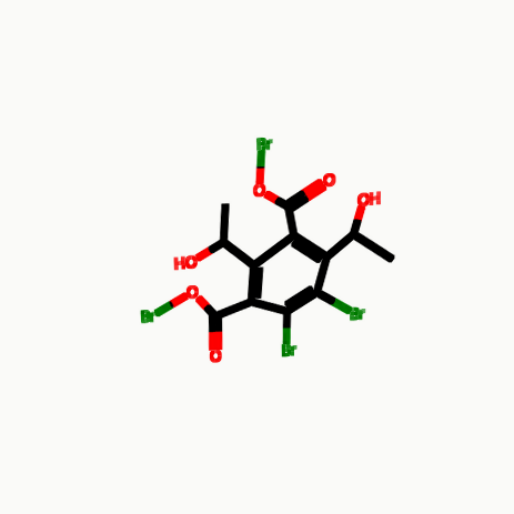 CC(O)c1c(Br)c(Br)c(C(=O)OBr)c(C(C)O)c1C(=O)OBr